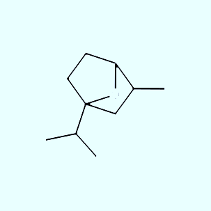 CC1CC2(C(C)C)CC[C]1O2